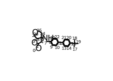 COC(=O)CC1(NCc2ccc(-c3ccc(C(C)(C)C)cc3)cc2)CCOCC1